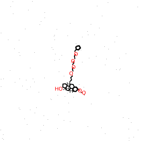 COCOc1ccc2c(c1)C[C@@H](CCCCOCCOCCOCCOCc1ccccc1)[C@@H]1[C@@H]2CC[C@]2(C)[C@@H](O)CC[C@@H]12